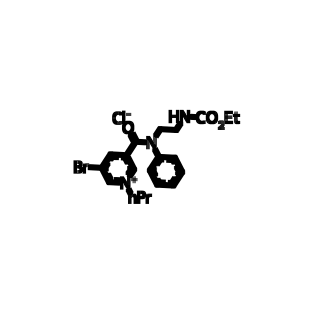 CCC[n+]1cc(Br)cc(C(=O)N(CCNC(=O)OCC)c2ccccc2)c1.[Cl-]